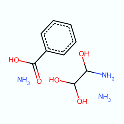 N.N.NC(O)C(O)O.O=C(O)c1ccccc1